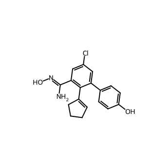 N/C(=N\O)c1cc(Cl)cc(-c2ccc(O)cc2)c1C1=CCCC1